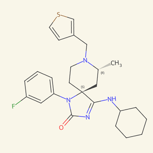 C[C@@H]1C[C@@]2(CCN1Cc1ccsc1)C(NC1CCCCC1)=NC(=O)N2c1cccc(F)c1